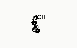 O[C@H]1CCN(Cc2ccc(C3COc4ccccc4O3)cc2)C1